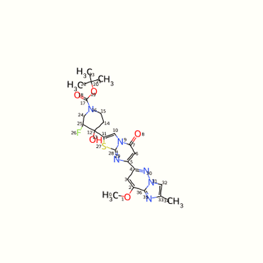 COc1cc(-c2cc(=O)n3cc(C4(O)CCN(C(=O)OC(C)(C)C)CC4F)sc3n2)nn2cc(C)nc12